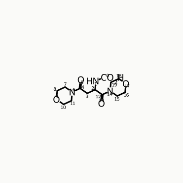 O=C(O)NC(CC(=O)N1CCOCC1)C(=O)N1CCOCC1